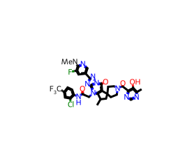 CNc1ncc(-c2nc3n(CC(=O)Nc4ccc(C(F)(F)F)cc4Cl)c4c(c(=O)n3n2)C2(CCN(C(=O)c3ncnc(C)c3O)CC2)CC4C)cc1F